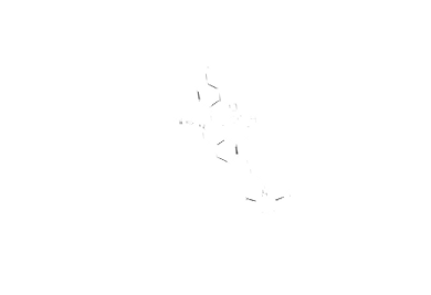 CCCCN(Cc1ccc(OCCN2C(=O)CCC2=O)c(C)c1)C(CC(=O)O)c1ccc(Cl)cc1Cl